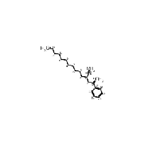 C=C(CC(CCCCCCCCCCC)NC)c1ccccc1